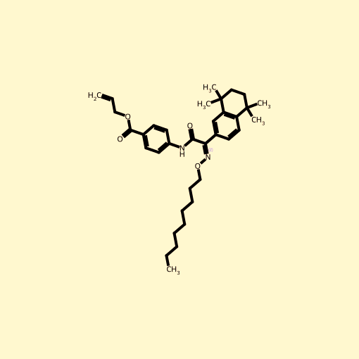 C=CCOC(=O)c1ccc(NC(=O)/C(=N\OCCCCCCCCC)c2ccc3c(c2)C(C)(C)CCC3(C)C)cc1